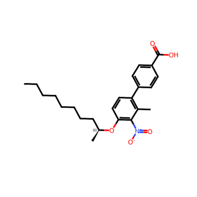 CCCCCCCC[C@H](C)Oc1ccc(-c2ccc(C(=O)O)cc2)c(C)c1[N+](=O)[O-]